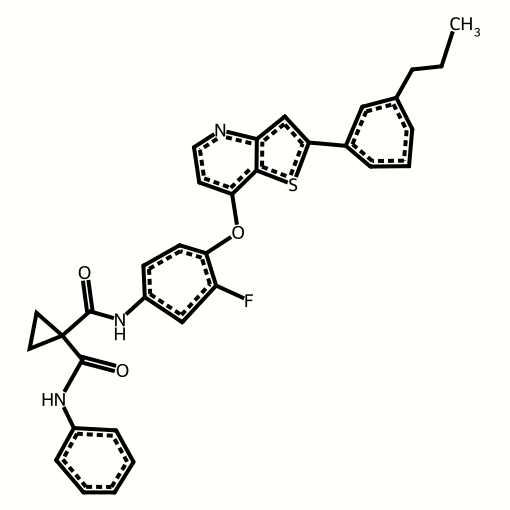 CCCc1cccc(-c2cc3nccc(Oc4ccc(NC(=O)C5(C(=O)Nc6ccccc6)CC5)cc4F)c3s2)c1